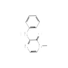 Cn1ccnc(Nc2ccccc2)c1=O